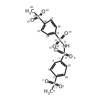 CS(=O)(=O)c1ccc(S(=O)(=O)NS(=O)(=O)c2ccc(S(C)(=O)=O)cc2)cc1